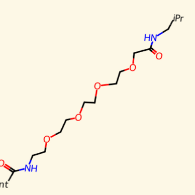 CCCC(C)C(=O)NCCOCCOCCOCCOCC(=O)NCC(C)C